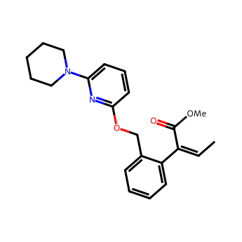 CC=C(C(=O)OC)c1ccccc1COc1cccc(N2CCCCC2)n1